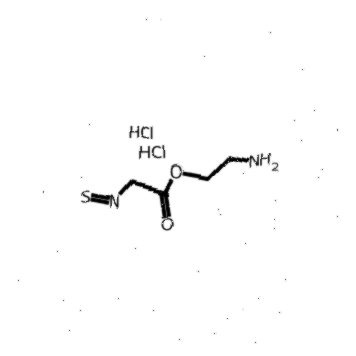 Cl.Cl.NCCOC(=O)CN=S